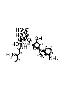 CCC(N)CCNP(=O)(O)OP(=O)(OC[C@H]1O[C@@H](n2cnc3c(N)ncnc32)CC1O)OP(=O)(O)O